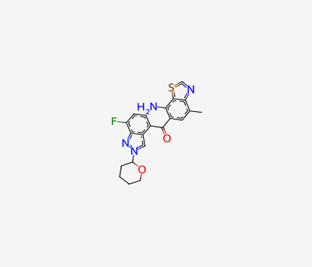 Cc1cc(C(=O)c2ccc(F)c3nn(C4CCCCO4)cc23)c(N)c2scnc12